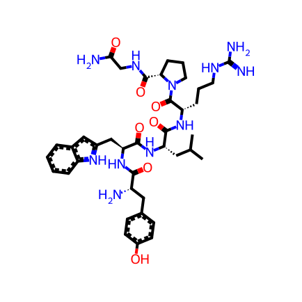 CC(C)C[C@H](NC(=O)[C@H](Cc1cc2ccccc2[nH]1)NC(=O)[C@@H](N)Cc1ccc(O)cc1)C(=O)N[C@@H](CCCNC(=N)N)C(=O)N1CCC[C@H]1C(=O)NCC(N)=O